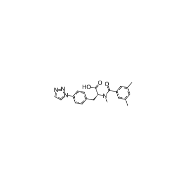 Cc1cc(C)cc(C(=O)N(C)[C@@H](Cc2ccc(-n3ccnn3)cc2)C(=O)O)c1